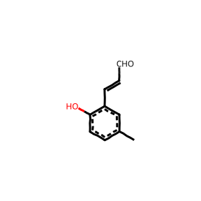 Cc1ccc(O)c(C=CC=O)c1